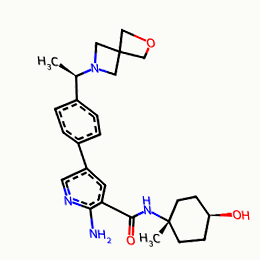 C[C@H](c1ccc(-c2cnc(N)c(C(=O)N[C@]3(C)CC[C@@H](O)CC3)c2)cc1)N1CC2(COC2)C1